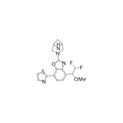 COC(c1ccc(-c2nccs2)c2oc(N3CC4CC(C3)N4)nc12)C(F)F